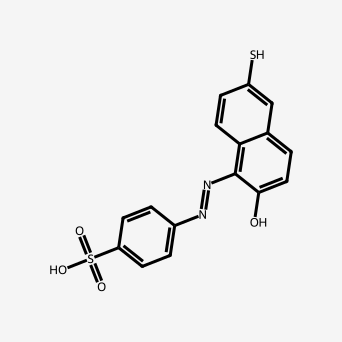 O=S(=O)(O)c1ccc(N=Nc2c(O)ccc3cc(S)ccc23)cc1